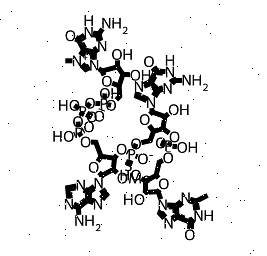 COC1C(OP([O-])(=S)OCC2OC(n3cnc4c(=O)[nH]c(N)nc43)C(O)C2OP(=O)(O)OCC2OC(n3cnc4c(=O)[nH]c(C)nc43)C(O)C2O)C(COP(=O)(O)OP(=O)(O)OP(=O)(O)OCC2OC(n3c[n+](C)c4c(=O)[nH]c(N)nc43)C(O)C2O)OC1n1cnc2c(N)ncnc21